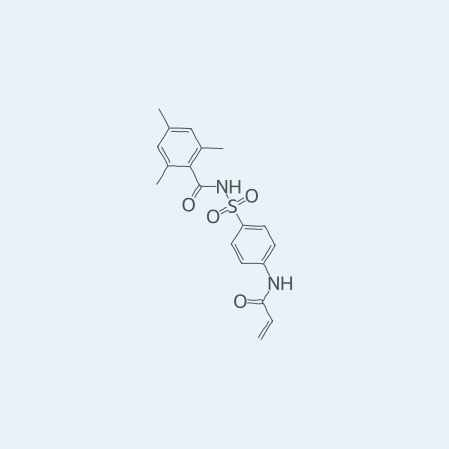 C=CC(=O)Nc1ccc(S(=O)(=O)NC(=O)c2c(C)cc(C)cc2C)cc1